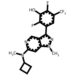 CN(c1cc2c(cn1)c(-c1cc(C(F)(F)F)c(F)c(O)c1F)nn2C)C1CCC1